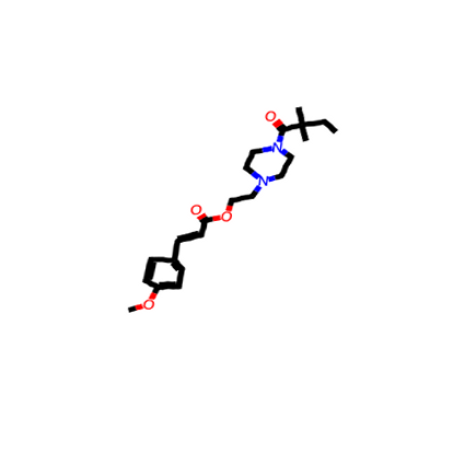 CCC(C)(C)C(=O)N1CCN(CCOC(=O)/C=C/c2ccc(OC)cc2)CC1